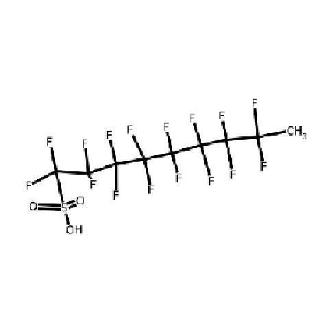 CC(F)(F)C(F)(F)C(F)(F)C(F)(F)C(F)(F)C(F)(F)C(F)(F)C(F)(F)S(=O)(=O)O